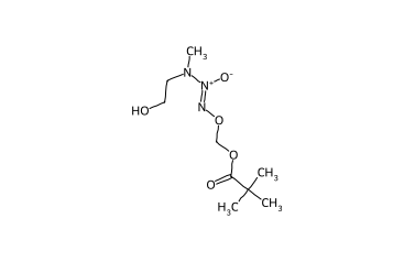 CN(CCO)[N+]([O-])=NOCOC(=O)C(C)(C)C